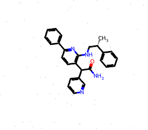 C[C@@H](CNc1nc(-c2ccccc2)ccc1C(C(N)=O)c1cccnc1)c1ccccc1